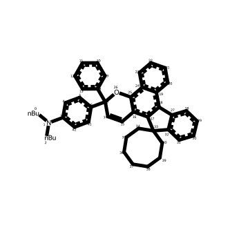 CCCCN(CCCC)c1ccc(C2(c3ccccc3)C=Cc3c4c(c5ccccc5c3O2)-c2ccccc2C42CCCCCCC2)cc1